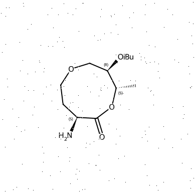 CC(C)CO[C@@H]1COCC[C@H](N)C(=O)O[C@H]1C